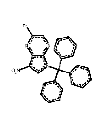 O=[N+]([O-])c1cn(C(c2ccccc2)(c2ccccc2)c2ccccc2)c2ncc(Br)nc12